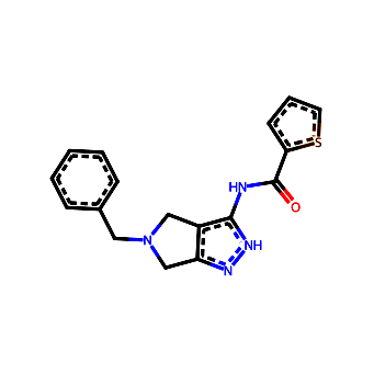 O=C(Nc1[nH]nc2c1CN(Cc1ccccc1)C2)c1cccs1